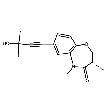 C[C@H]1COc2ccc(C#CC(C)(C)O)cc2N(C)C1=O